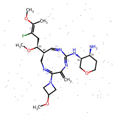 C=C1/N=C(N[C@@H]2COCC[C@@H]2N)\N=C/[C@H]([C@H](C/C(F)=C(\C)OC)OC)C/N=C\1N1CC(OC)C1